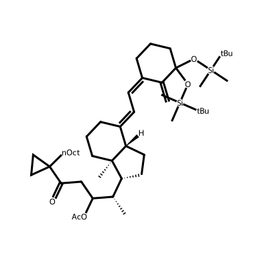 C=C1/C(=C\C=C2/CCC[C@]3(C)[C@@H]([C@H](C)C(CC(=O)C4(CCCCCCCC)CC4)OC(C)=O)CC[C@@H]23)CCCC1(O[Si](C)(C)C(C)(C)C)O[Si](C)(C)C(C)(C)C